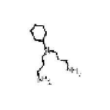 NCCCN(CCCN)C1CCCCC1